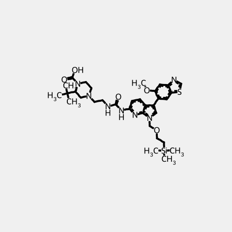 COc1cc2ncsc2cc1-c1cn(COCC[Si](C)(C)C)c2nc(NC(=O)NCCN3CCN(C(=O)O)C(C(C)(C)C)C3)ccc12